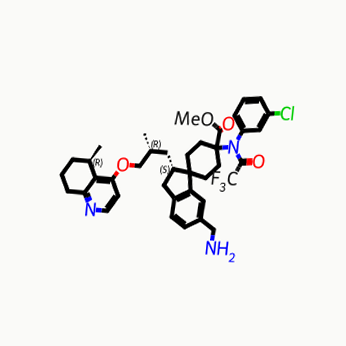 COC(=O)C1(N(C(=O)C(F)(F)F)c2cccc(Cl)c2)CCC2(CC1)c1cc(CN)ccc1C[C@@H]2C[C@@H](C)COc1ccnc2c1[C@H](C)CCC2